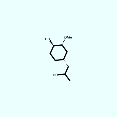 CO[C@@H]1C[C@H](CC(C)O)CC[C@H]1O